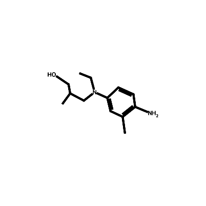 CCN(CC(C)CO)c1ccc(N)c(C)c1